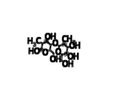 CC1[C@@H](O)C(OC2OC(CO)[C@@H](O)C(O)[C@H]2C)C(CO)O[C@H]1O